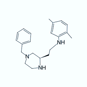 Cc1ccc(C)c(NCC[C@@H]2CN(Cc3ccccc3)CCN2)c1